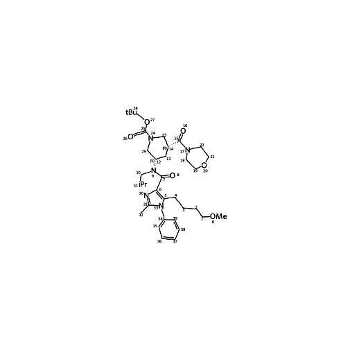 COCCCCc1c(C(=O)N(CC(C)C)[C@H]2C[C@@H](C(=O)N3CCOCC3)CN(C(=O)OC(C)(C)C)C2)nc(C)n1-c1ccccc1